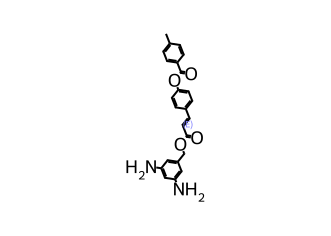 Cc1ccc(C(=O)Oc2ccc(/C=C/C(=O)OCc3cc(N)cc(N)c3)cc2)cc1